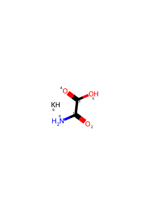 NC(=O)C(=O)O.[KH]